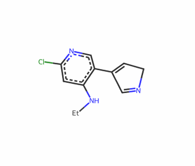 CCNc1cc(Cl)ncc1C1=CCN=C1